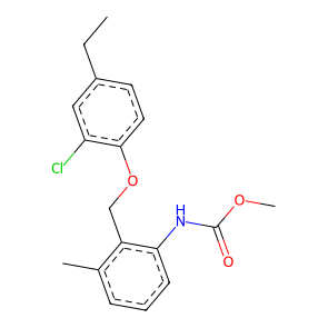 CCc1ccc(OCc2c(C)cccc2NC(=O)OC)c(Cl)c1